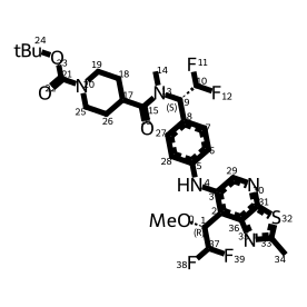 CO[C@H](c1c(Nc2ccc([C@@H](C(F)F)N(C)C(=O)C3CCN(C(=O)OC(C)(C)C)CC3)cc2)cnc2sc(C)nc12)C(F)F